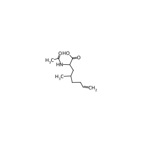 C=CCCC(C)CC(NC(C)=O)C(=O)O